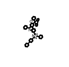 c1ccc(-c2ccc(-c3nc(-c4ccccc4)nc(-c4ccc5c(c4)nc(-c4ccccc4)c4cc6c(cc45)C4(c5ccccc5O6)c5ccccc5-c5ccccc54)n3)cc2)cc1